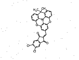 CC1(C)c2cccc3c2N2c4c(cc(C=C5C(=O)c6cc(Cl)c(Cl)cc6C5=O)cc4Oc4cccc1c42)O3